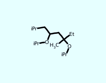 [CH2]CC(C)(CC(CC(C)C)OC(C)C)OC(C)C